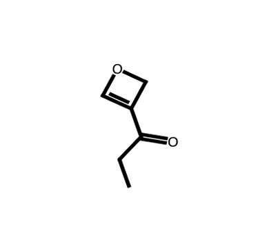 CCC(=O)C1=COC1